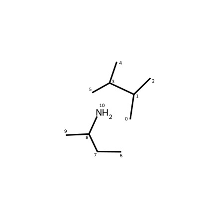 CC(C)C(C)C.CCC(C)N